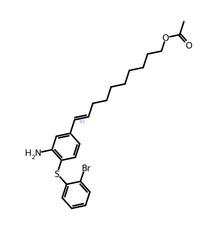 CC(=O)OCCCCCCCC/C=C/c1ccc(Sc2ccccc2Br)c(N)c1